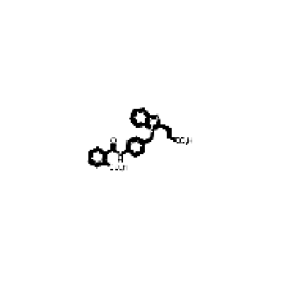 O=C(O)/C=C/c1nc2ccccc2n1Cc1ccc(NC(=O)c2ccccc2C(=O)O)cc1